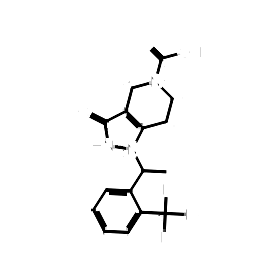 CC(c1ccccc1C(F)(F)F)n1[nH]c(=O)c2c1CCN(C(=O)O)C2